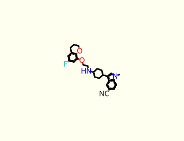 Cn1cc(C2CCC(NCCOc3cc(F)cc4c3OCCC4)CC2)c2cc(C#N)ccc21